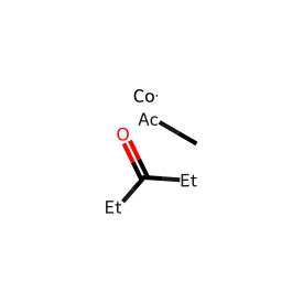 CC(C)=O.CCC(=O)CC.[Co]